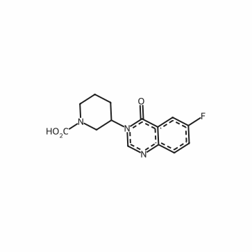 O=C(O)N1CCCC(n2cnc3ccc(F)cc3c2=O)C1